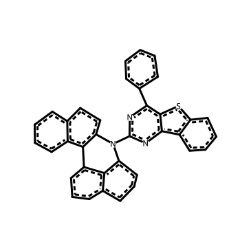 c1ccc(-c2nc(N3c4ccc5ccccc5c4-c4cccc5cccc3c45)nc3c2sc2ccccc23)cc1